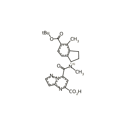 Cc1c(C(=O)OC(C)(C)C)ccc2c1CC[C@@H]2N(C)C(=O)c1cc(C(=O)O)nc2ccnn12